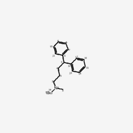 CN(CCCC(c1ccccc1)c1ccccc1)C(C)(C)C